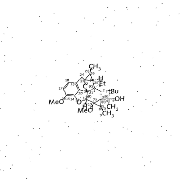 CC[C@]12C[C@]3([C@](C)(O)C(C)(C)C)[C@@H](C)[C@]3(OC)[C@@H]3Oc4c(OC)ccc5c4[C@@]31CC1(C5)[C@H]2[C@@H]1C